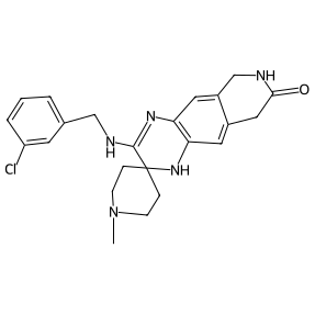 CN1CCC2(CC1)Nc1cc3c(cc1N=C2NCc1cccc(Cl)c1)CNC(=O)C3